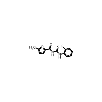 Cc1ccc(C(=O)NC(=S)Nc2ccccc2F)o1